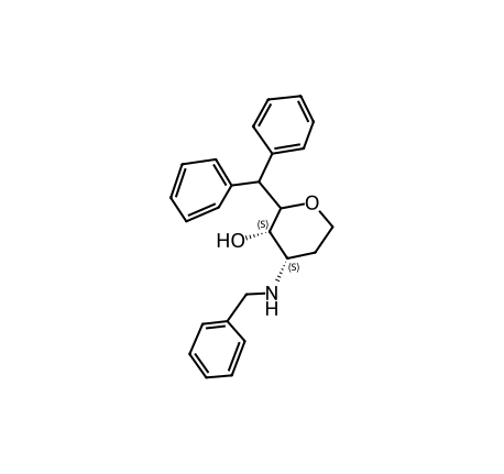 O[C@@H]1C(C(c2ccccc2)c2ccccc2)OCC[C@@H]1NCc1ccccc1